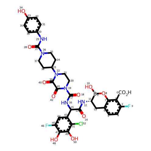 O=C(O)c1c(F)ccc2c1OB(O)[C@@H](NC(=O)C(NC(=O)N1CCN(C3CCN(C(=O)Nc4ccc(O)cc4)CC3)C(=O)C1=O)c1cc(F)c(O)c(O)c1Cl)C2